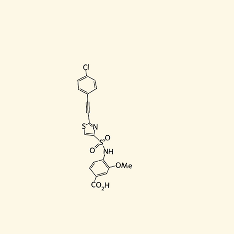 COc1cc(C(=O)O)ccc1NS(=O)(=O)c1csc(C#Cc2ccc(Cl)cc2)n1